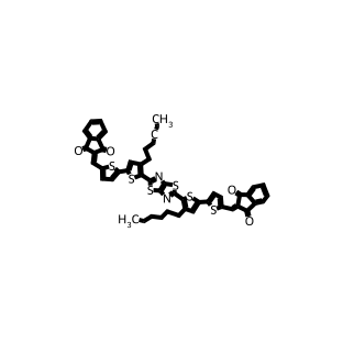 CCCCCCc1cc(-c2ccc(C=C3C(=O)c4ccccc4C3=O)s2)sc1-c1nc2sc(-c3sc(-c4ccc(C=C5C(=O)c6ccccc6C5=O)s4)cc3CCCCCC)nc2s1